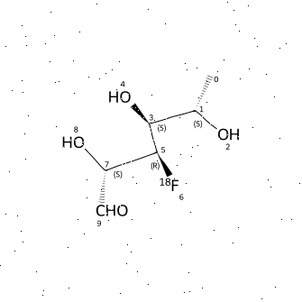 C[C@H](O)[C@H](O)[C@@H]([18F])[C@@H](O)C=O